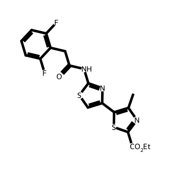 CCOC(=O)c1nc(C)c(-c2csc(NC(=O)Cc3c(F)cccc3F)n2)s1